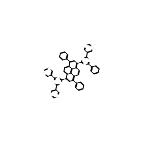 c1ccc(-c2nc(-c3cncnc3)nc(-c3cc(-c4ccccc4)c4ccc5c(-c6nc(-c7cncnc7)nc(-c7cncnc7)n6)cc(-c6ccccc6)c6ccc3c4c65)n2)cc1